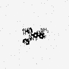 CNCC1CN(c2nc(OCC34CCCN3CCC4)nc3c(F)c(-c4ccc(F)c5sc(N)nc45)c(Cl)cc23)CCCO1